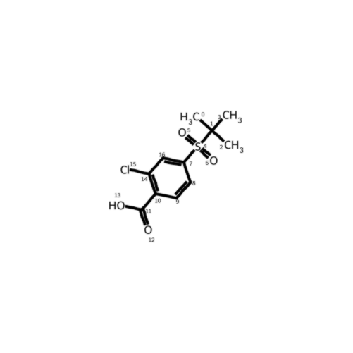 CC(C)(C)S(=O)(=O)c1ccc(C(=O)O)c(Cl)c1